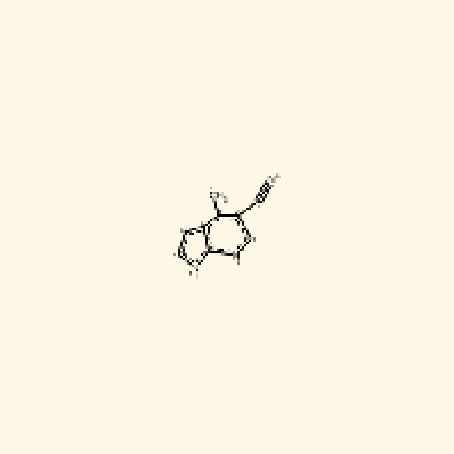 Cc1c(C#N)cnc2[nH]ccc12